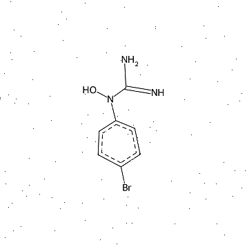 N=C(N)N(O)c1ccc(Br)cc1